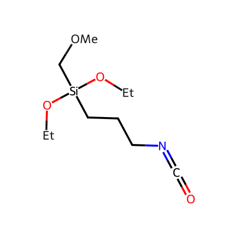 CCO[Si](CCCN=C=O)(COC)OCC